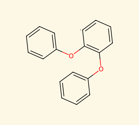 [c]1cccc(Oc2ccccc2)c1Oc1ccccc1